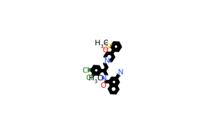 CN(CC(CCN1CCC(c2ccccc2[S+](C)[O-])CC1)c1ccc(Cl)c(Cl)c1)C(=O)c1cc(C#N)cc2c1CCCC2